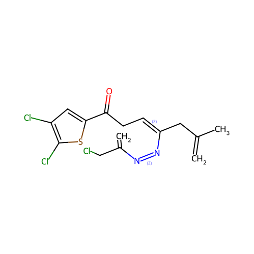 C=C(C)CC(=C/CC(=O)c1cc(Cl)c(Cl)s1)/N=N\C(=C)CCl